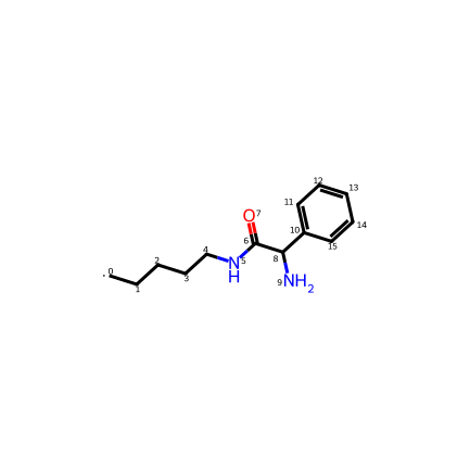 [CH2]CCCCNC(=O)C(N)c1ccccc1